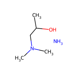 CC(O)CN(C)C.N